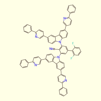 N#Cc1c(-n2c3ccc(-c4ccc(-c5ccccc5)nc4)cc3c3cc(-c4ccc(-c5ccccc5)nc4)ccc32)cc(-c2c(F)cccc2F)cc1-n1c2ccc(-c3ccc(-c4ccccc4)nc3)cc2c2cc(-c3ccc(-c4ccccc4)nc3)ccc21